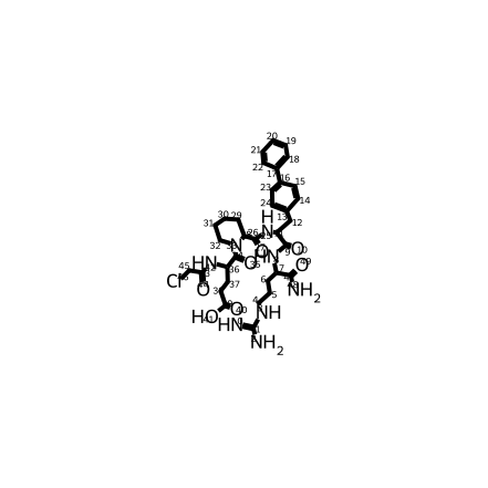 N=C(N)NCCCC(NC(=O)C(Cc1ccc(-c2ccccc2)cc1)NC(=O)C1CCCCN1C(=O)C(CCC(=O)O)NC(=O)CCl)C(N)=O